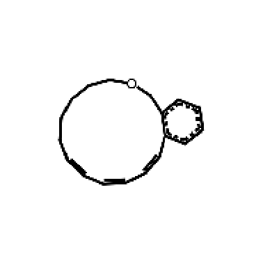 C1=CC=Cc2ccccc2COCCCCCC=C1